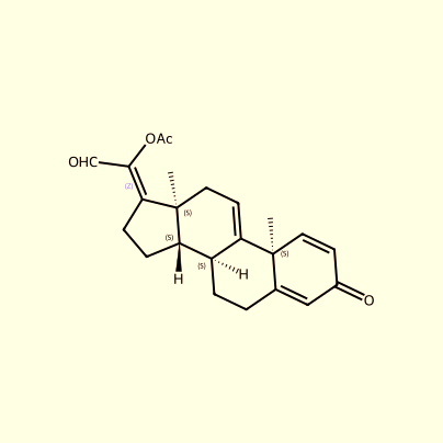 CC(=O)O/C(C=O)=C1/CC[C@H]2[C@@H]3CCC4=CC(=O)C=C[C@]4(C)C3=CC[C@]12C